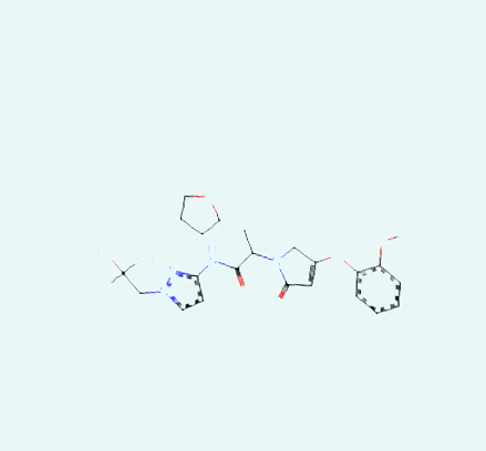 COc1ccccc1OC1=CC(=O)N(C(C[C@@H]2CCCO2)C(=O)Nc2ccn(CC(C)(C)O)n2)C1